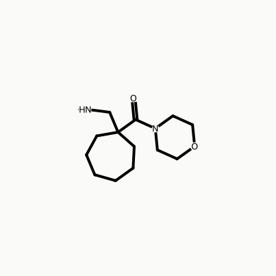 [NH]CC1(C(=O)N2CCOCC2)CCCCCC1